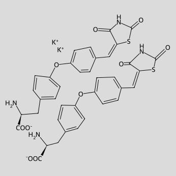 N[C@@H](Cc1ccc(Oc2ccc(/C=C3/SC(=O)NC3=O)cc2)cc1)C(=O)[O-].N[C@@H](Cc1ccc(Oc2ccc(/C=C3/SC(=O)NC3=O)cc2)cc1)C(=O)[O-].[K+].[K+]